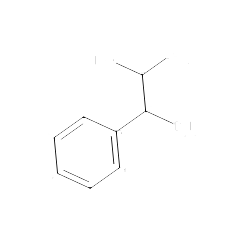 BC(O)C(B)c1ccccc1